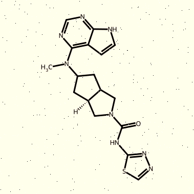 CN(c1ncnc2[nH]ccc12)C1CC2CN(C(=O)Nc3nncs3)C[C@H]2C1